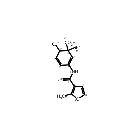 Cc1occc1C(=S)NC1=CC(C(=O)O)(C(C)C)C(Cl)C=C1